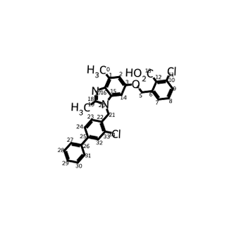 Cc1cc(OCc2cccc(Cl)c2C(=O)O)cc2c1nc(C)n2Cc1ccc(-c2ccccc2)cc1Cl